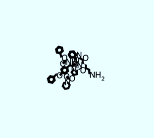 NCCCC[C@H](NC(=O)[C@@H]1C[C@@H](OC(=O)N2CCCCC2)CN1C(=O)[C@H](NC(=O)OCc1ccccc1)c1ccc(OCc2ccccc2)cc1)C(=O)c1nc2ccccc2o1